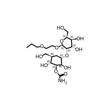 CCCOCCO[C@H]1O[C@@H](CO)[C@@H](O)[C@H](O)[C@@H]1O[C@H]1C[C@H](CO)[C@@H](O)[C@H](OC(N)=O)[C@@H]1O